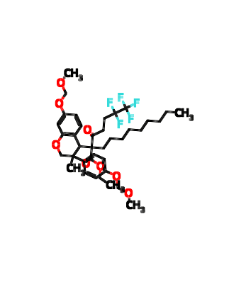 CCCCCCCCCC(C(=O)CCC(F)(F)C(F)(F)F)(C(=O)OCC)C1c2ccc(OCOC)cc2OCC1(C)c1ccc(OCOC)cc1